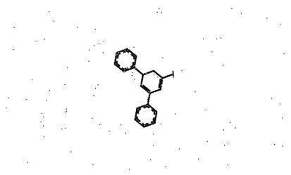 IC1=CC(c2ccccc2)=CC(c2ccccc2)C1